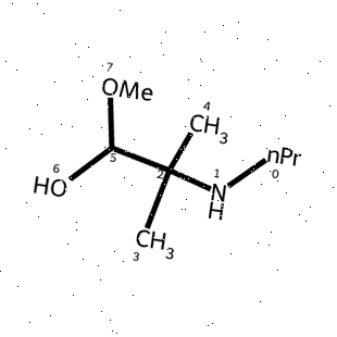 CCCNC(C)(C)C(O)OC